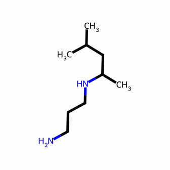 CC(C)CC(C)NCCCN